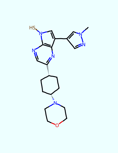 Cn1cc(-c2cn(S)c3ncc([C@H]4CC[C@@H](N5CCOCC5)CC4)nc23)cn1